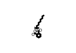 CCCCCCCCC(I)(I)OC(=O)c1ccccc1C(=O)O